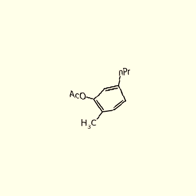 CCCc1ccc(C)c(OC(C)=O)c1